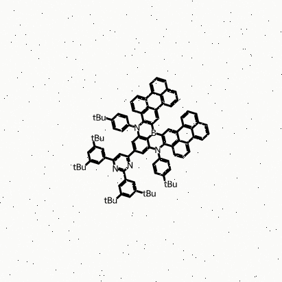 CC(C)(C)c1ccc(N2c3cc(-c4cc(-c5cc(C(C)(C)C)cc(C(C)(C)C)c5)nc(-c5cc(C(C)(C)C)cc(C(C)(C)C)c5)n4)cc4c3B(c3cc5c6cccc7cccc(c8cccc(c32)c85)c76)c2cc3c5cccc6cccc(c7cccc(c2N4c2ccc(C(C)(C)C)cc2)c73)c65)cc1